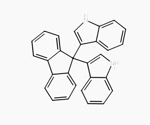 c1ccc2c(c1)-c1ccccc1C2(c1c[nH]c2ccccc12)c1c[nH]c2ccccc12